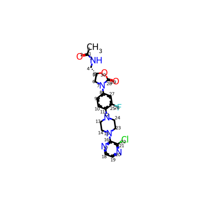 CC(=O)NC[C@H]1CN(c2ccc(N3CCN(c4nccnc4Cl)CC3)c(F)c2)C(=O)O1